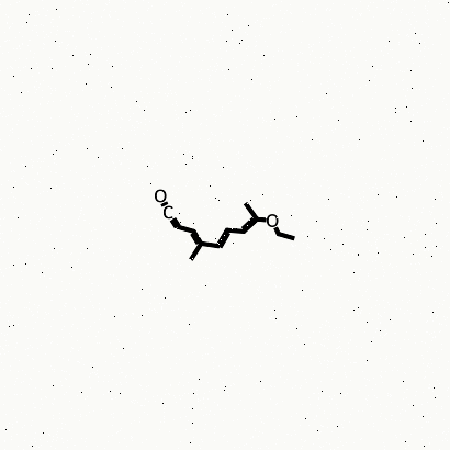 CCOC(C)=CC=CC(C)=CC=C=O